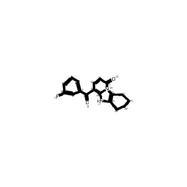 O=C(c1cccc(F)c1)c1ccc(=O)n2c3c([nH]c12)CCCC3